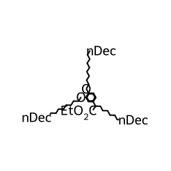 CCCCCCCCCCCCCCCCCCOc1ccc(C(CCCCCCCCCCCCCCCC)C(=O)OCC)cc1OCCCCCCCCCCCCCCCCCC